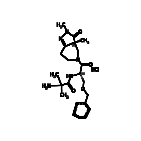 CN1N=C2CCN(C(=O)[C@H](COCc3ccccc3)NC(=O)C(C)(C)N)C[C@@]2(C)C1=O.Cl